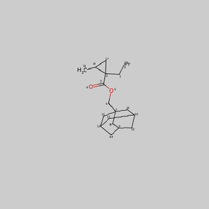 CC(C)CC1(C(=O)OCC23CC4CC(CC(C4)C2)C3)CC1C